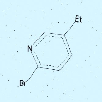 [CH2]Cc1ccc(Br)nc1